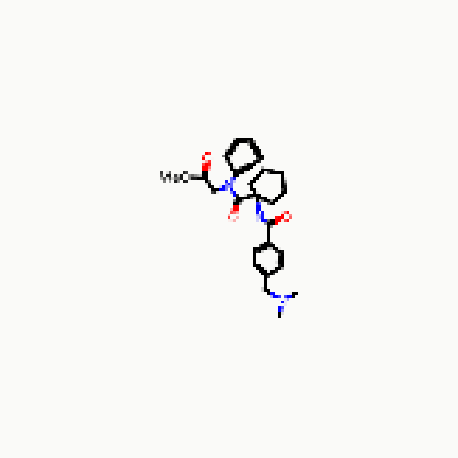 COC(=O)CN(C(=O)C1(NC(=O)c2ccc(CN(C)C)cc2)CCCCC1)c1ccccc1